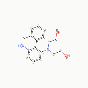 Cc1ccccc1-c1c(N)cccc1N(CCO)CCO